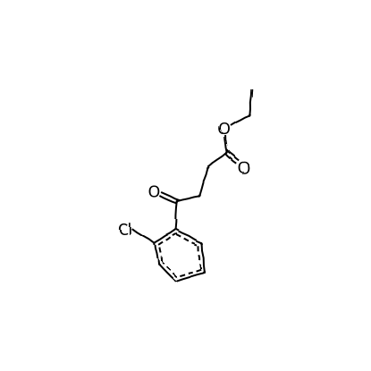 CCOC(=O)CCC(=O)c1ccccc1Cl